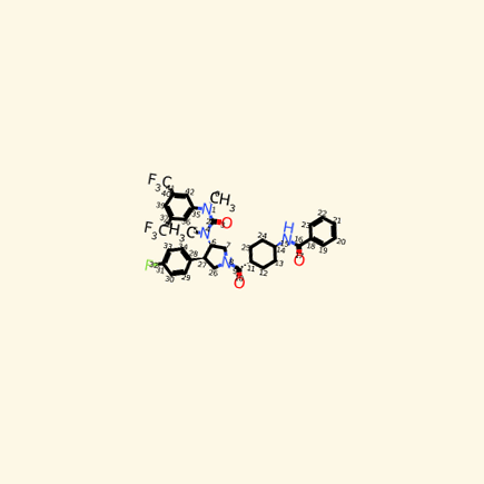 CN(C(=O)N(C)[C@@H]1CN(C(=O)[C@H]2CC[C@H](NC(=O)c3ccccc3)CC2)C[C@H]1c1ccc(F)cc1)c1cc(C(F)(F)F)cc(C(F)(F)F)c1